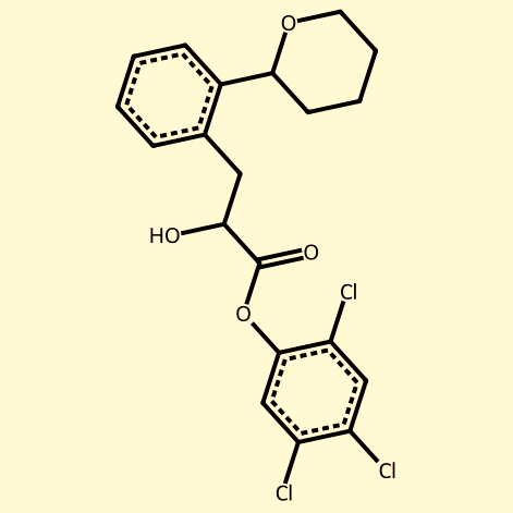 O=C(Oc1cc(Cl)c(Cl)cc1Cl)C(O)Cc1ccccc1C1CCCCO1